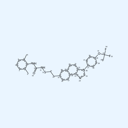 Cc1cccc(C)c1NC(=O)NSCCc1ccc2c(ccc3c2ncn3-c2ccc(OC(F)(F)F)cc2)c1